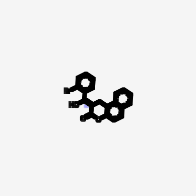 O=C1Oc2ccc3ccccc3c2C/C1=C(/O)c1ccccc1Br